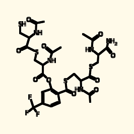 CC(=O)NC(CSC(=O)C(CSC(=O)c1ccc(C(F)(F)F)cc1OC(=O)C(CSC(=O)C(CS)NC(C)=O)NC(C)=O)NC(C)=O)C(N)=O